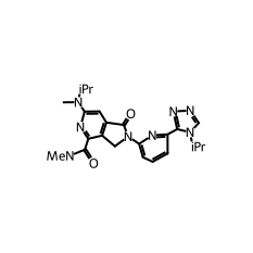 CNC(=O)c1nc(N(C)C(C)C)cc2c1CN(c1cccc(-c3nncn3C(C)C)n1)C2=O